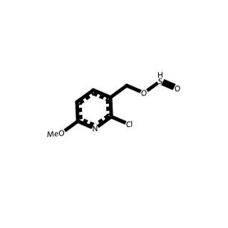 COc1ccc(CO[SH]=O)c(Cl)n1